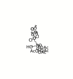 CC(=O)O[C@@H]1O[C@H](C(=O)N(CCCCO)CCCCc2cc(Cl)c(COC3(c4cnccc4-c4ccccc4OC4CC4)CC3)cc2Cl)[C@@H](OC(C)=O)[C@H](OC(C)=O)[C@H]1OC(C)=O